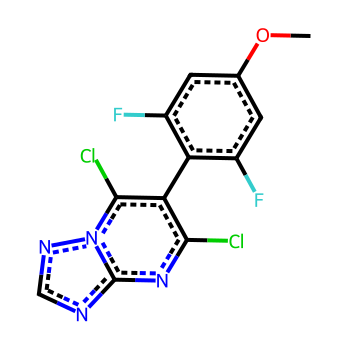 COc1cc(F)c(-c2c(Cl)nc3ncnn3c2Cl)c(F)c1